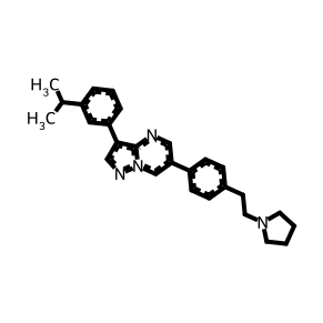 CC(C)c1cccc(-c2cnn3cc(-c4ccc(CCN5CCCC5)cc4)cnc23)c1